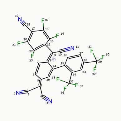 N#CC(C#N)=c1cc/c(=C(/C#N)c2c(F)c(F)c(C#N)c(F)c2F)c(-c2ccc(C(F)(F)F)cc2C(F)(F)F)c1